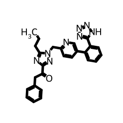 CCCc1nc(C(=O)Cc2ccccc2)nn1Cc1ccc(-c2ccccc2-c2nnn[nH]2)cn1